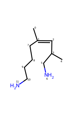 CC(=CC(C)CN)CCCCN